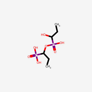 CCC(OP(=O)(O)C(O)CC)P(=O)(O)O